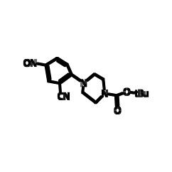 CC(C)(C)OC(=O)N1CCN(c2ccc(N=O)cc2C#N)CC1